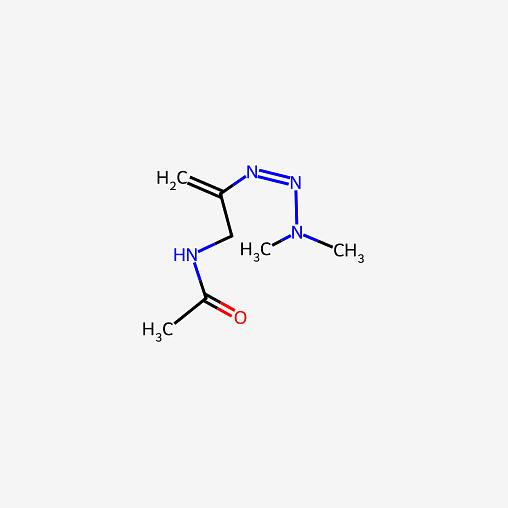 C=C(CNC(C)=O)/N=N\N(C)C